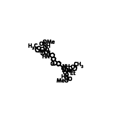 CC[C@@H](N(Cc1ncc(-c2ccc3c(c2)COc2cc4c(cc2-3)CCc2nc(C3CC[C@H]([C@@]5(C)CCC[C@@H](C)O5)N3C(=O)CNC(=O)OC)[nH]c2-4)[nH]1)C(=O)CNC(=O)OC)C1(C)CCC[C@@H](C)O1